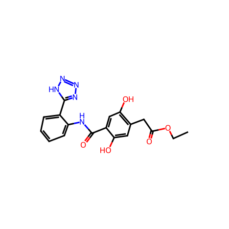 CCOC(=O)Cc1cc(O)c(C(=O)Nc2ccccc2-c2nnn[nH]2)cc1O